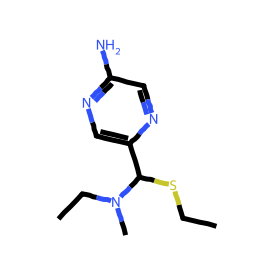 CCSC(c1cnc(N)cn1)N(C)CC